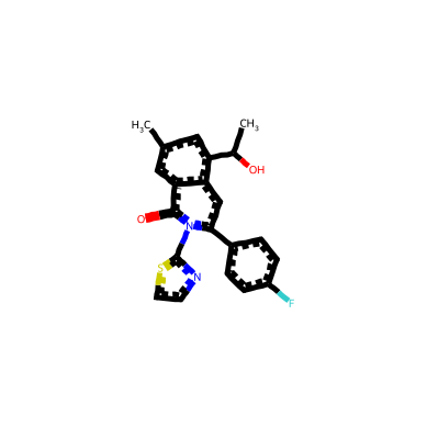 Cc1cc(C(C)O)c2cc(-c3ccc(F)cc3)n(-c3nccs3)c(=O)c2c1